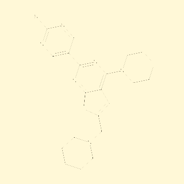 Nc1ncc(-c2nc(N3CCOCC3)c3cc(CN4CCCCC4)sc3n2)cn1